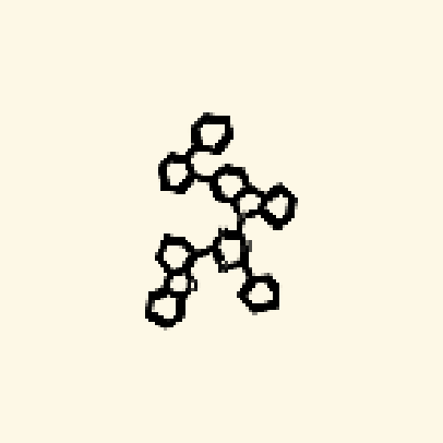 C1=CC(c2nc(-c3ccccc3)nc(N3c4ccccc4C4C=CC(c5ccccc5-c5ccccc5)=CC43)n2)=C2Oc3ccccc3C2C1